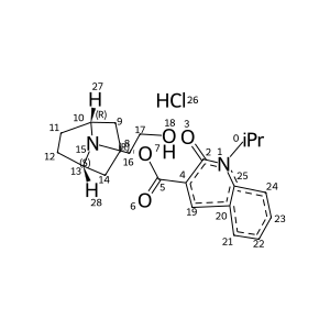 CC(C)n1c(=O)c(C(=O)O[C@H]2C[C@H]3CC[C@@H](C2)N3CCO)cc2ccccc21.Cl